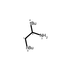 CCCC[CH]C(N)C(C)(C)C